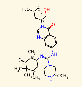 CC(C)C[C@@H](CO)n1cnc2cc(NC(=NC3C[C@@H](C)C(C)(C)[C@@H](C)[C@@H]3C)N3CCN[C@@H](C)C3)ccc2c1=O